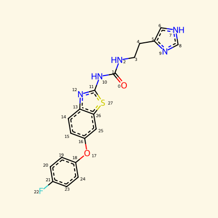 O=C(NCCc1c[nH]cn1)Nc1nc2ccc(Oc3ccc(F)cc3)cc2s1